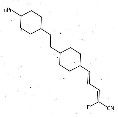 CCCC1CCC(CCC2CCC(C=CC=C(F)C#N)CC2)CC1